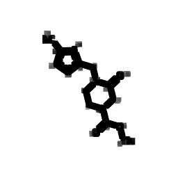 CC(C)(C)OC(=O)N1CCN(Cc2ccc(C#N)s2)C(=O)C1